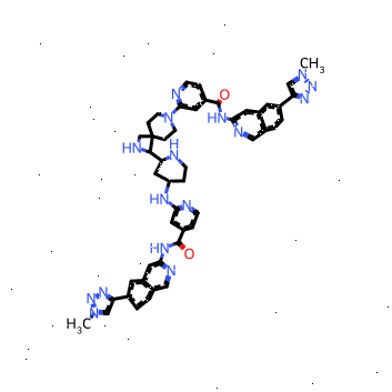 Cn1cc(-c2ccc3cnc(NC(=O)c4ccnc(NC5CCNC(C6NCC67CCN(c6cc(C(=O)Nc8cc9cc(-c%10cn(C)nn%10)ccc9cn8)ccn6)CC7)C5)c4)cc3c2)nn1